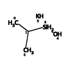 CC(C)[SiH2]O.[KH]